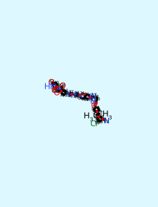 CC(C)(c1ccc(OCc2ccnc(N3CCC4(CC3)CCN(C3CN(C5CN(c6ccc7c(c6)C(=O)N(C6CCC(=O)NC6=O)C7=O)C5)C3)CC4)n2)cc1)c1cc(Cl)cc(C#N)c1